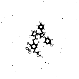 CC(=O)Nc1cc(F)c(CCN2C(=O)COC2c2cn(-c3ccc(Br)cc3)nc2-c2ccc(F)cc2)c(F)c1[N+](=O)[O-]